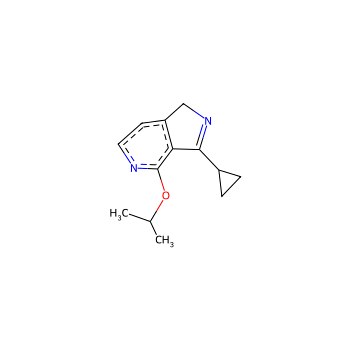 CC(C)Oc1nccc2c1C(C1CC1)=NC2